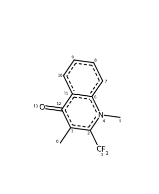 Cc1c(C(F)(F)F)n(C)c2ccccc2c1=O